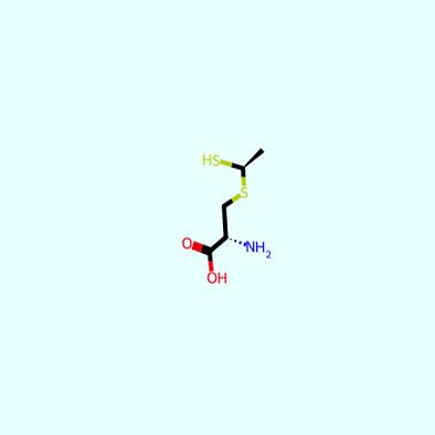 C[C@H](S)SC[C@H](N)C(=O)O